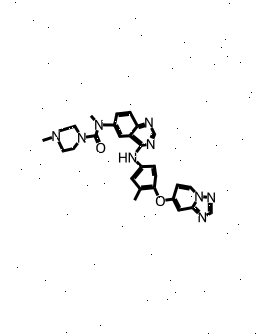 Cc1cc(Nc2ncnc3ccc(N(C)C(=O)N4CCN(C)CC4)cc23)ccc1Oc1ccn2ncnc2c1